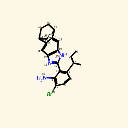 CCC(C)c1ccc(Br)c(N)c1-c1nc2cc3c(cc2[nH]1)C1CCC3CC1